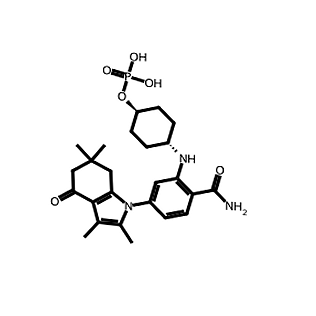 Cc1c2c(n(-c3ccc(C(N)=O)c(N[C@H]4CC[C@H](OP(=O)(O)O)CC4)c3)c1C)CC(C)(C)CC2=O